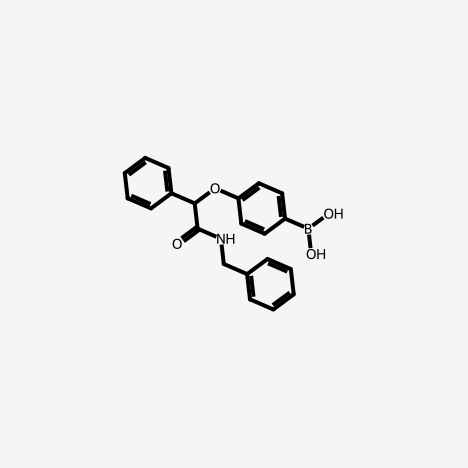 O=C(NCc1ccccc1)C(Oc1ccc(B(O)O)cc1)c1ccccc1